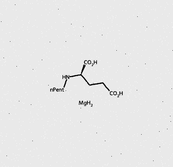 CCCCCN[C@H](CCC(=O)O)C(=O)O.[MgH2]